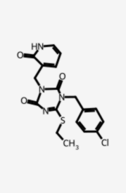 CCSc1nc(=O)n(Cc2ccc[nH]c2=O)c(=O)n1Cc1ccc(Cl)cc1